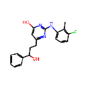 Cc1c(Cl)cccc1Nc1nc(O)cc(CCC(O)c2ccccc2)n1